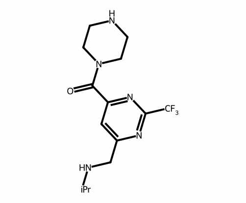 CC(C)NCc1cc(C(=O)N2CCNCC2)nc(C(F)(F)F)n1